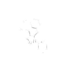 CC[C@@H]1CCCc2cc3c(cnn3C3CCCCO3)c(Br)c21